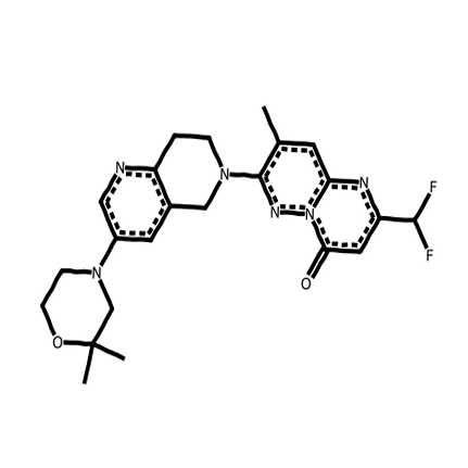 Cc1cc2nc(C(F)F)cc(=O)n2nc1N1CCc2ncc(N3CCOC(C)(C)C3)cc2C1